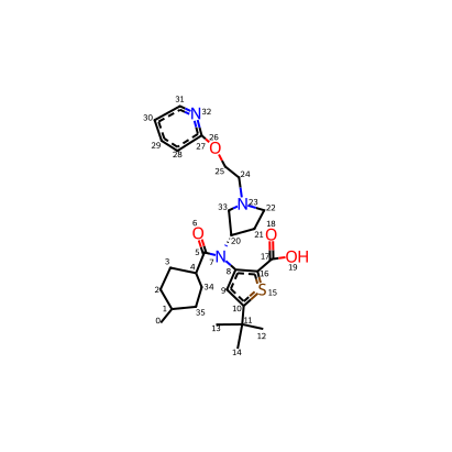 CC1CCC(C(=O)N(c2cc(C(C)(C)C)sc2C(=O)O)[C@H]2CCN(CCOc3ccccn3)C2)CC1